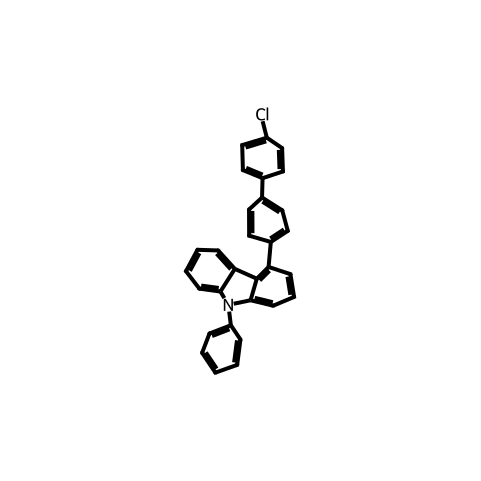 Clc1ccc(-c2ccc(-c3cccc4c3c3ccccc3n4-c3ccccc3)cc2)cc1